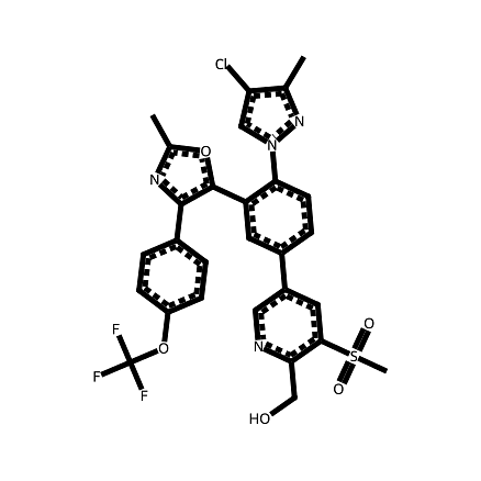 Cc1nc(-c2ccc(OC(F)(F)F)cc2)c(-c2cc(-c3cnc(CO)c(S(C)(=O)=O)c3)ccc2-n2cc(Cl)c(C)n2)o1